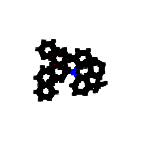 CC1(C)c2ccccc2-c2c(N(c3ccccc3-c3ccc4ccccc4c3)c3cc4c5ccccc5ccc4c4ccccc34)cccc21